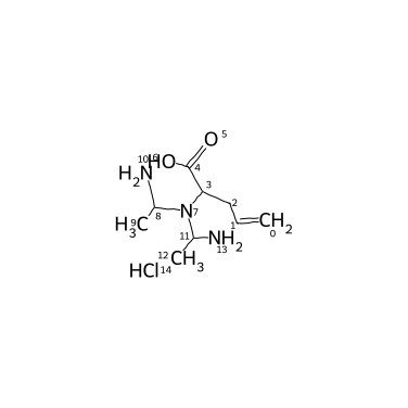 C=CCC(C(=O)O)N(C(C)N)C(C)N.Cl